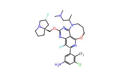 CC(CN(C)C)N1CCCOc2nc(-c3cc(N)cc(Cl)c3C(F)(F)F)c(F)c3nc(OC[C@@]45CCCN4C[C@H](F)C5)nc1c23